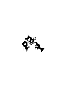 Cc1c(I)cc(C(=O)NCc2cc(C3CC3)no2)c(=O)n1-c1cccc(C(F)(F)F)c1